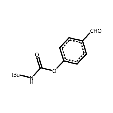 CC(C)(C)NC(=O)Oc1ccc(C=O)cc1